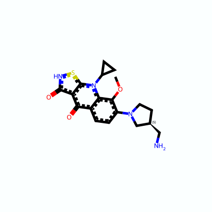 COc1c(N2CC[C@@H](CN)C2)ccc2c(=O)c3c(=O)[nH]sc3n(C3CC3)c12